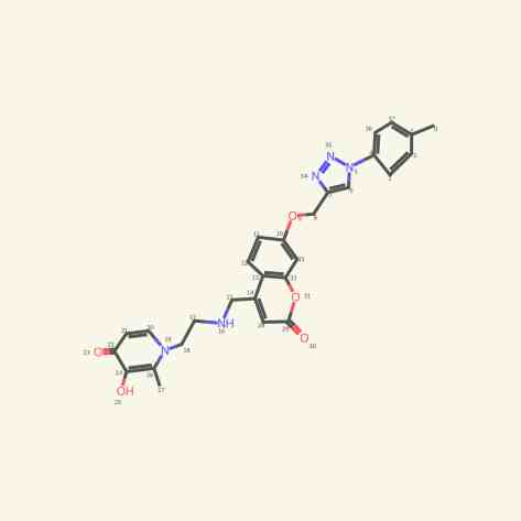 Cc1ccc(-n2cc(COc3ccc4c(CNCCn5ccc(=O)c(O)c5C)cc(=O)oc4c3)nn2)cc1